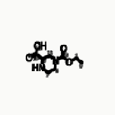 CCOC(=O)N1CCNC(C(=O)O)C1